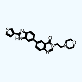 O=c1c2cc(-c3ccc4nc(-c5ccsc5)[nH]c4c3)ccc2ncn1CCN1CCOCC1